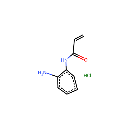 C=CC(=O)Nc1ccccc1N.Cl